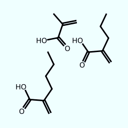 C=C(C)C(=O)O.C=C(CCC)C(=O)O.C=C(CCCC)C(=O)O